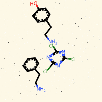 Clc1nc(Cl)nc(Cl)n1.NCCc1ccc(O)cc1.NCCc1ccccc1